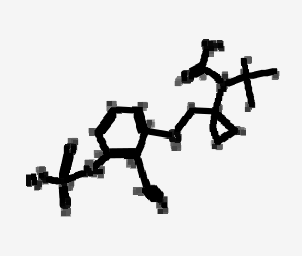 CC(C)(C)N(C(=O)O)C1(COc2cccc(NS(N)(=O)=O)c2C#N)CC1